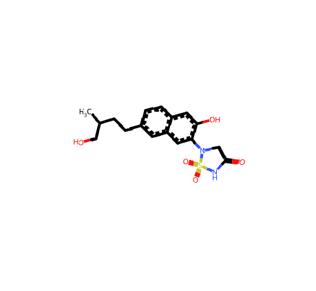 CC(CO)CCc1ccc2cc(O)c(N3CC(=O)NS3(=O)=O)cc2c1